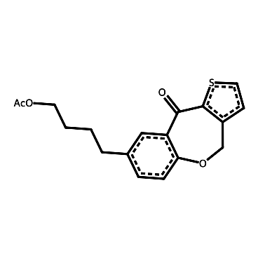 CC(=O)OCCCCc1ccc2c(c1)C(=O)c1sccc1CO2